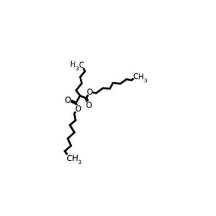 CCCCCCCCOC(=O)C(CCCCC)C(=O)OCCCCCCCC